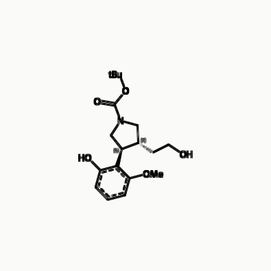 COc1cccc(O)c1[C@H]1CN(C(=O)OC(C)(C)C)C[C@@H]1CCO